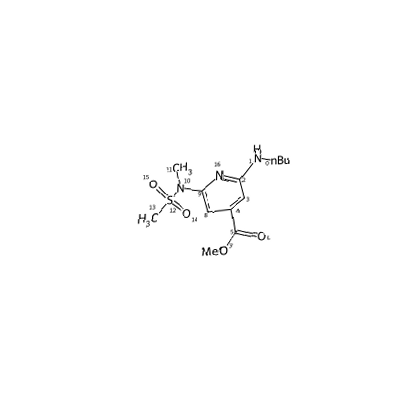 CCCCNc1cc(C(=O)OC)cc(N(C)S(C)(=O)=O)n1